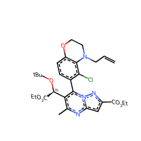 C=CCN1CCOc2ccc(-c3c([C@H](OC(C)(C)C)C(=O)OCC)c(C)nc4cc(C(=O)OCC)nn34)c(Cl)c21